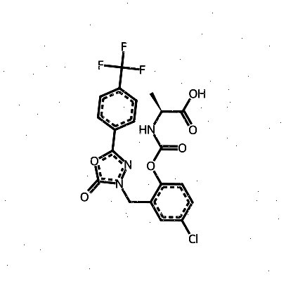 C[C@H](NC(=O)Oc1ccc(Cl)cc1Cn1nc(-c2ccc(C(F)(F)F)cc2)oc1=O)C(=O)O